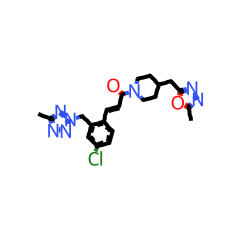 Cc1nnn(Cc2cc(Cl)ccc2C=CC(=O)N2CCC(Cc3nnc(C)o3)CC2)n1